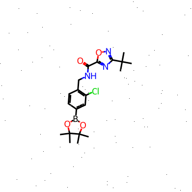 CC(C)(C)c1noc(C(=O)NCc2ccc(B3OC(C)(C)C(C)(C)O3)cc2Cl)n1